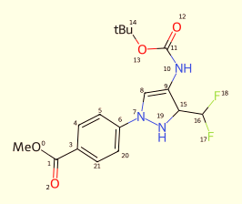 COC(=O)c1ccc(N2C=C(NC(=O)OC(C)(C)C)C(C(F)F)N2)cc1